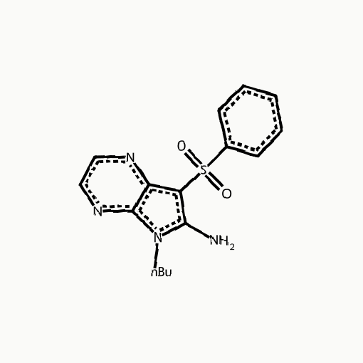 CCCCn1c(N)c(S(=O)(=O)c2ccccc2)c2nccnc21